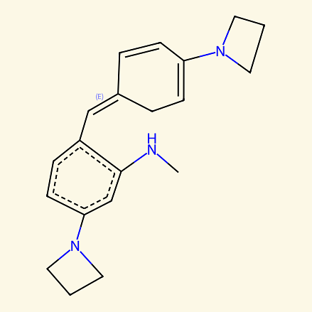 CNc1cc(N2CCC2)ccc1/C=C1/C=CC(N2CCC2)=CC1